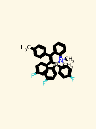 Cc1ccc(C2=C(c3ccc(F)cc3)[B-](c3ccc(F)cc3)(c3ccc(F)cc3)[N+](C)(C)c3ccccc32)cc1